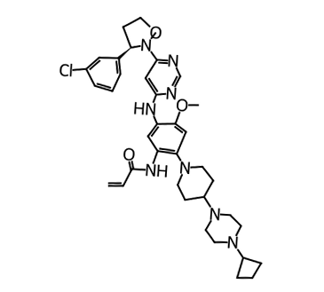 C=CC(=O)Nc1cc(Nc2cc(N3OCC[C@@H]3c3cccc(Cl)c3)ncn2)c(OC)cc1N1CCC(N2CCN(C3CCC3)CC2)CC1